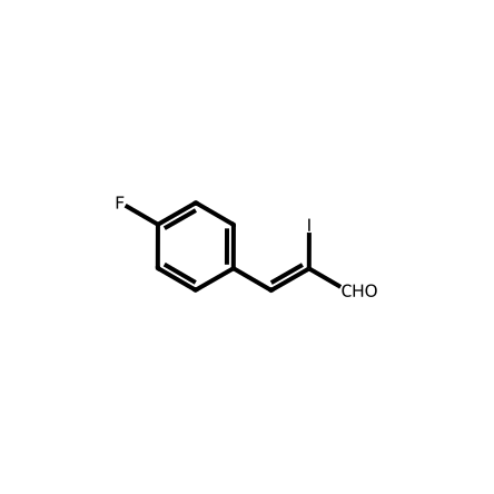 O=C/C(I)=C/c1ccc(F)cc1